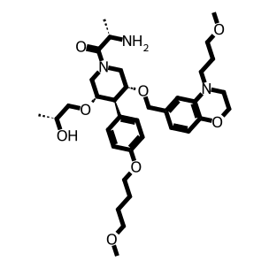 COCCCCOc1ccc([C@@H]2[C@@H](OCc3ccc4c(c3)N(CCCOC)CCO4)CN(C(=O)[C@H](C)N)C[C@H]2OC[C@@H](C)O)cc1